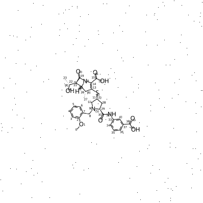 COc1ccccc1CN1C[C@@H](SC2=C(C(=O)O)N3C(=O)[C@H]([C@@H](C)O)[C@H]3[C@H]2C)C[C@H]1C(=O)Nc1cccc(C(=O)O)c1